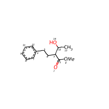 COC(=O)C(CCc1ccccc1)C(C)O